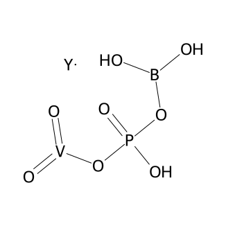 [O]=[V](=[O])[O]P(=O)(O)OB(O)O.[Y]